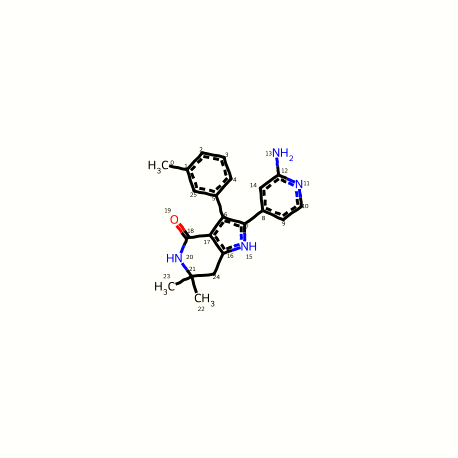 Cc1cccc(-c2c(-c3ccnc(N)c3)[nH]c3c2C(=O)NC(C)(C)C3)c1